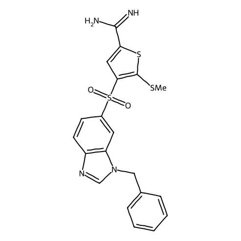 CSc1sc(C(=N)N)cc1S(=O)(=O)c1ccc2ncn(Cc3ccccc3)c2c1